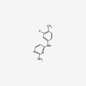 Cc1ccc(Nc2ccnc(N)n2)cc1F